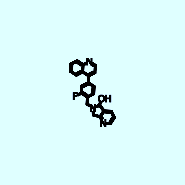 OC1c2cccnc2CN1Cc1ccc(-c2ccnc3ccccc23)cc1F